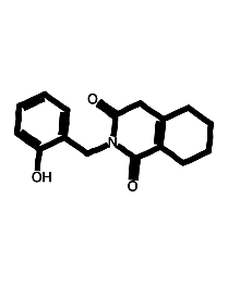 O=C1CC2=C(CCCC2)C(=O)N1Cc1ccccc1O